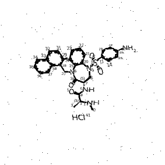 CN[C@@H](C)C(=O)N[C@H]1CN(S(=O)(=O)c2ccc(N)cc2)c2ccccc2N(Cc2c(C)ccc3ccccc23)C1=O.Cl